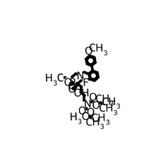 CCOP1(=O)CCN(Cc2c(F)cccc2-c2ccc(OC)cc2)CC1(CCCCN(C(=O)OC(C)(C)C)C(=O)OC(C)(C)C)C(=O)O